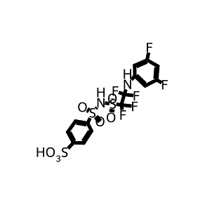 O=S(=O)(O)c1ccc(S(=O)(=O)NS(=O)(=O)C(F)(F)C(F)(F)Nc2cc(F)cc(F)c2)cc1